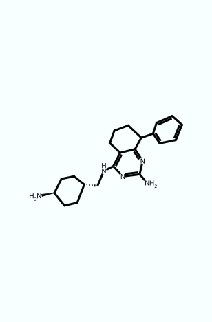 Nc1nc(NC[C@H]2CC[C@H](N)CC2)c2c(n1)C(c1ccccc1)CCC2